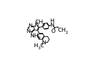 C=CC(=O)Nc1ccc(-c2c(-c3ccc4c(c3)CCCN4C)c3c(N)ncnc3n2C)cc1